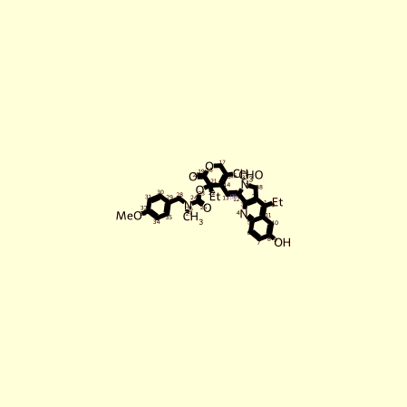 CCc1c2c(nc3ccc(O)cc13)/C(=C/C1=C(C)COC(=O)C1(CC)OC(=O)N(C)Cc1ccc(OC)cc1)N(C=O)C2